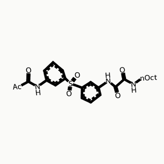 CCCCCCCCNC(=O)C(=O)Nc1cccc(S(=O)(=O)c2cccc(NC(=O)C(C)=O)c2)c1